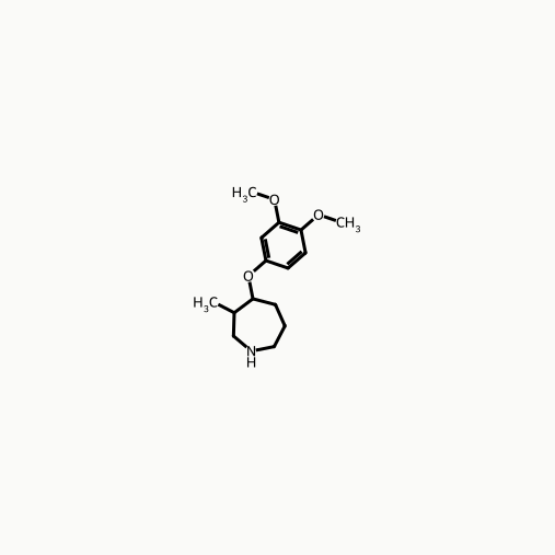 COc1ccc(OC2CCCNCC2C)cc1OC